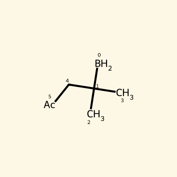 BC(C)(C)CC(C)=O